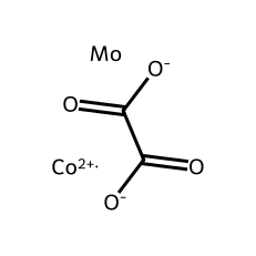 O=C([O-])C(=O)[O-].[Co+2].[Mo]